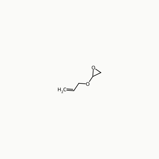 C=CCOC1CO1